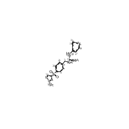 CCCn1cc(S(=O)(=O)c2ccc(CNC(=N)Nc3ccncc3)cc2)cn1